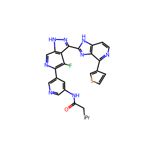 CC(C)CC(=O)Nc1cncc(-c2ncc3[nH]nc(-c4nc5c(-c6ccsc6)nccc5[nH]4)c3c2F)c1